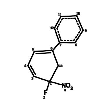 O=[N+]([O-])C1(F)C=CC=C(c2ccccc2)C1